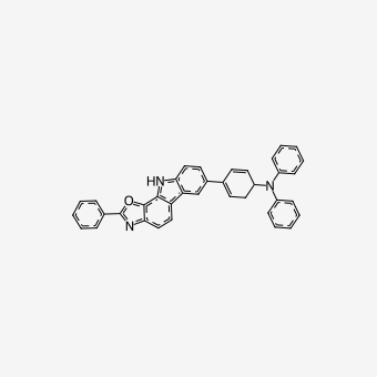 C1=CC(N(c2ccccc2)c2ccccc2)CC=C1c1ccc2[nH]c3c(ccc4nc(-c5ccccc5)oc43)c2c1